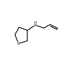 C=CCNC1CC[N]C1